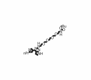 CCCn1cc(-c2nc(NCCOCCOCCOCCOCCNC(=O)OC(C)(C)C)nc3[nH]ccc23)cn1